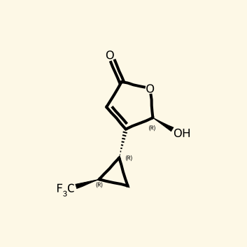 O=C1C=C([C@@H]2C[C@H]2C(F)(F)F)[C@H](O)O1